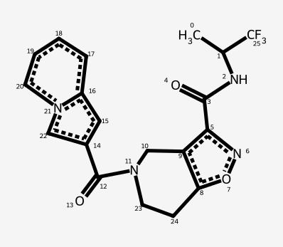 CC(NC(=O)c1noc2c1CN(C(=O)c1cc3ccccn3c1)CC2)C(F)(F)F